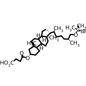 C[C@H](CCC[C@@H](C)[C@H]1CC[C@H]2[C@@H]3CC=C4C[C@@H](OC(=O)CCC(=O)O)CC[C@]4(C)[C@H]3CC[C@]12C)CO[Si](C)(C)C(C)(C)C